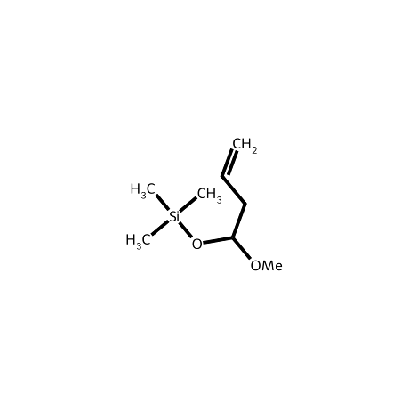 C=CCC(OC)O[Si](C)(C)C